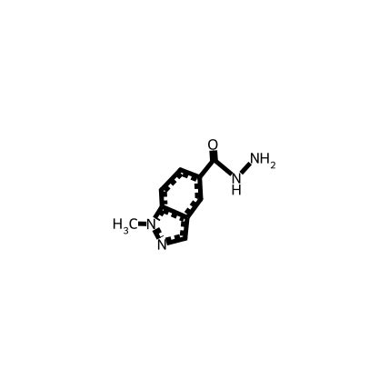 Cn1ncc2cc(C(=O)NN)ccc21